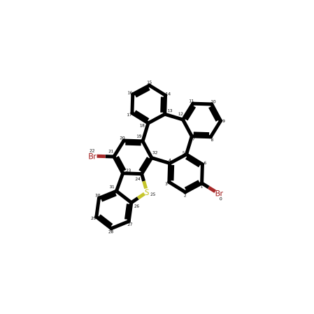 Brc1ccc2c(c1)-c1ccccc1-c1ccccc1-c1cc(Br)c3c(sc4ccccc43)c1-2